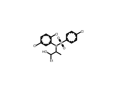 CCC(O)C(C)N(c1cc(Cl)ccc1Cl)S(=O)(=O)c1ccc(Cl)cc1